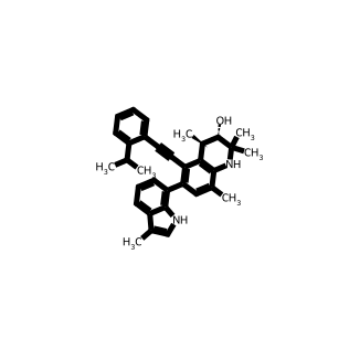 Cc1cc(-c2cccc3c(C)c[nH]c23)c(C#Cc2ccccc2C(C)C)c2c1NC(C)(C)[C@@H](O)[C@@H]2C